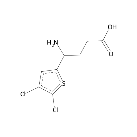 NC(CCC(=O)O)c1cc(Cl)c(Cl)s1